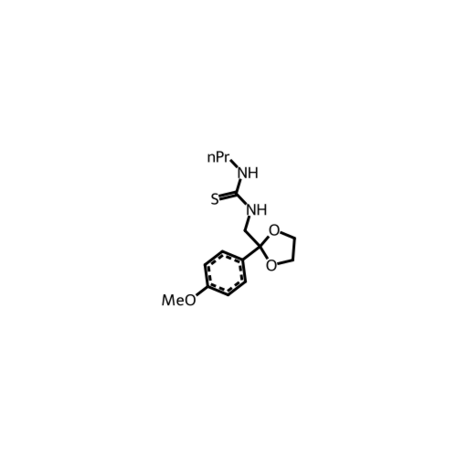 CCCNC(=S)NCC1(c2ccc(OC)cc2)OCCO1